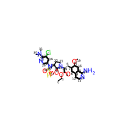 CCOC(=O)[C@@H](Cc1cc2ccnc(N)c2cc1OC)N1CC[C@H](N(c2cnc(N(C)C)c(Cl)c2)[SH](=O)=O)C1=O